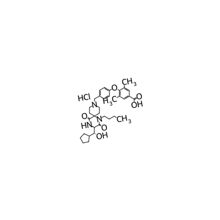 CCCCN1C(=O)[C@@H]([C@H](O)C2CCCC2)NC(=O)C12CCN(Cc1ccc(Oc3c(C)cc(C(=O)O)cc3C)cc1)CC2.Cl